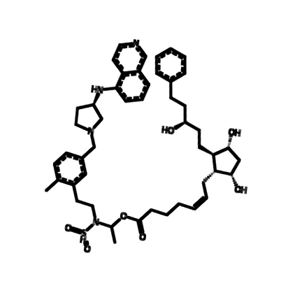 Cc1ccc(CN2CC[C@@H](Nc3cccc4cnccc34)C2)cc1CCN(C(C)OC(=O)CCC/C=C\C[C@@H]1[C@@H](CC[C@@H](O)CCc2ccccc2)[C@H](O)C[C@@H]1O)[SH](=O)=O